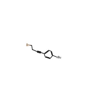 CCCCc1ccc(C#CCCBr)cc1